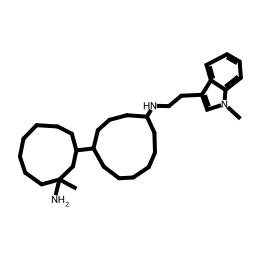 Cn1cc(CCNC2CCCCCCC(C3CCCCCCCC(C)(N)C3)CCC2)c2ccccc21